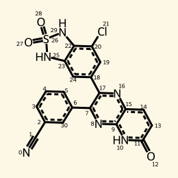 N#Cc1cccc(-c2nc3[nH]c(=O)ccc3nc2-c2cc(Cl)c3c(c2)NS(=O)(=O)N3)c1